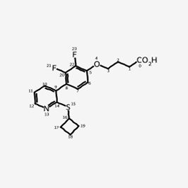 O=C(O)CCCOc1ccc(-c2cccnc2SC2CCC2)c(F)c1F